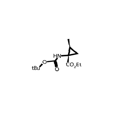 CCOC(=O)[C@]1(NC(=O)OC(C)(C)C)C[C@@H]1C